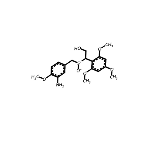 COc1cc(OC)c(C(CO)[S+]([O-])Cc2ccc(OC)c(N)c2)c(OC)c1